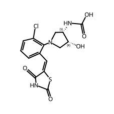 O=C(O)N[C@H]1CN(c2c(Cl)cccc2C=C2SC(=O)NC2=O)C[C@H]1O